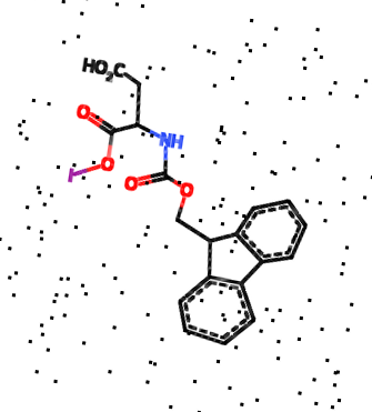 O=C(O)CC(NC(=O)OCC1c2ccccc2-c2ccccc21)C(=O)OI